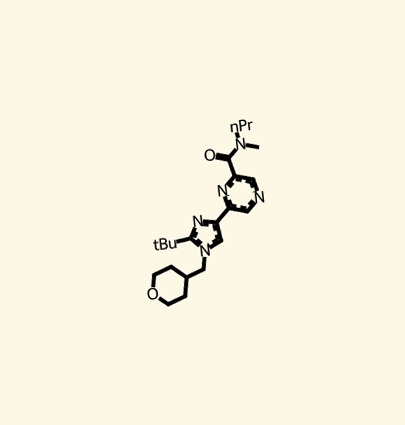 CCCN(C)C(=O)c1cncc(-c2cn(CC3CCOCC3)c(C(C)(C)C)n2)n1